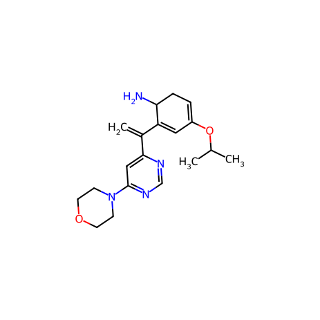 C=C(C1=CC(OC(C)C)=CCC1N)c1cc(N2CCOCC2)ncn1